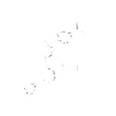 COc1ccc(-c2cccs2)cc1C=CC(=O)c1ccc(C(=O)O)cc1